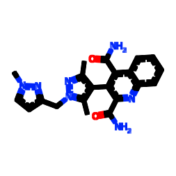 Cc1nn(Cc2ccn(C)n2)c(C)c1-c1c(C(N)=O)nc2ccccc2c1C(N)=O